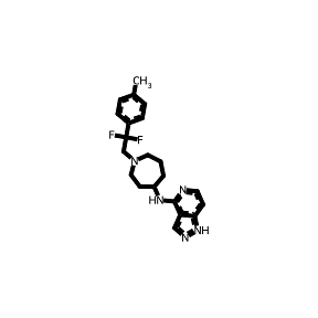 Cc1ccc(C(F)(F)CN2CCCC(Nc3nccc4[nH]ncc34)CC2)cc1